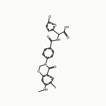 CNc1cc2c(cc1F)C(=O)N(c1ccc(C(=O)NC(C(=O)O)c3ccc(Cl)s3)cc1)CO2